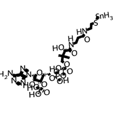 CC(C)(COP(=O)(O)OP(=O)(O)OC[C@H]1O[C@@H](n2cnc3c(N)ncnc32)[C@H](O)[C@@H]1OP(=O)(O)O)[C@@H](O)C(=O)NCCC(=O)NCC[S][SnH3]